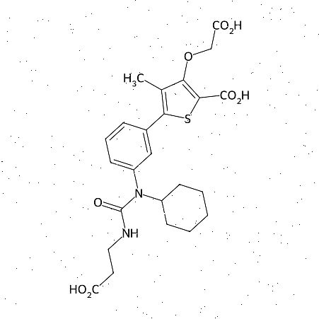 Cc1c(-c2cccc(N(C(=O)NCCC(=O)O)C3CCCCC3)c2)sc(C(=O)O)c1OCC(=O)O